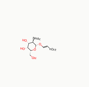 CCCCCCCCC=CO[C@@H]1O[C@H](CO)[C@H](O)[C@H](O)[C@H]1NC(C)=O